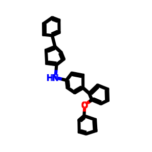 c1ccc(Oc2ccccc2-c2ccc(Nc3ccc(-c4ccccc4)cc3)cc2)cc1